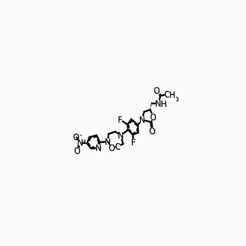 CC(=O)NC[C@H]1CN(c2cc(F)c(N3CCON(c4ccc([N+](=O)[O-])cn4)CC3)c(F)c2)C(=O)O1